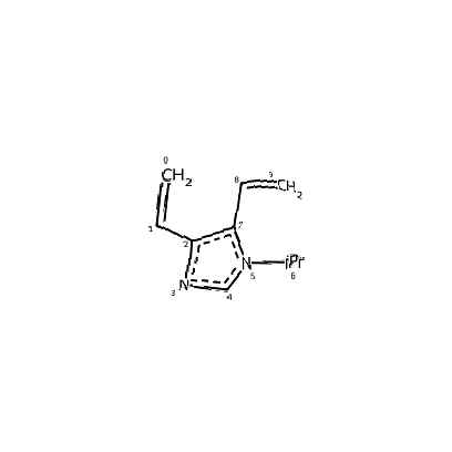 C=Cc1ncn(C(C)C)c1C=C